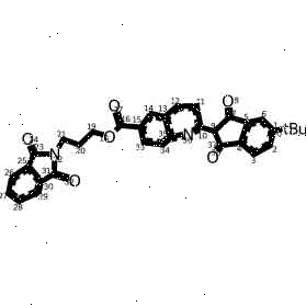 CC(C)(C)c1ccc2c(c1)C(=O)C(c1ccc3cc(C(=O)OCCCN4C(=O)c5ccccc5C4=O)ccc3n1)C2=O